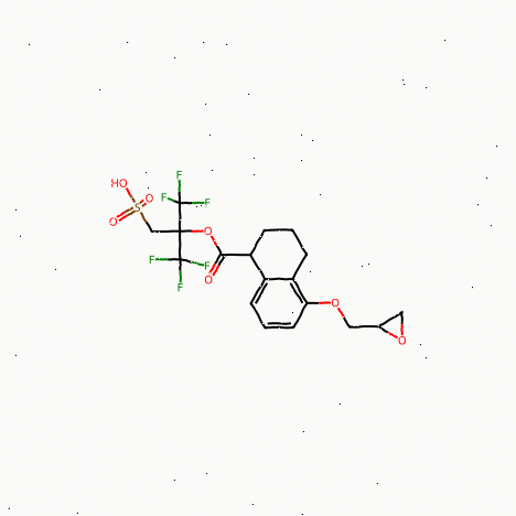 O=C(OC(CS(=O)(=O)O)(C(F)(F)F)C(F)(F)F)C1CCCc2c(OCC3CO3)cccc21